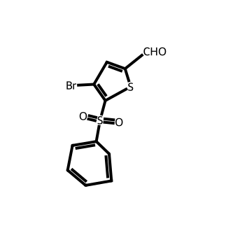 O=Cc1cc(Br)c(S(=O)(=O)c2ccccc2)s1